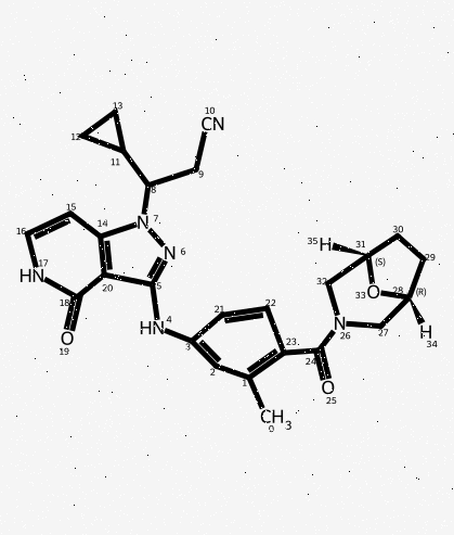 Cc1cc(Nc2nn(C(CC#N)C3CC3)c3cc[nH]c(=O)c23)ccc1C(=O)N1C[C@H]2CC[C@@H](C1)O2